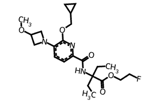 CCC(CC)(NC(=O)c1ccc(N2CC(OC)C2)c(OCC2CC2)n1)C(=O)OCCF